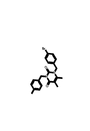 Cc1ccc(Cn2c(=O)c(C)c(C)n(Cc3ccc(Br)cc3)c2=O)cc1